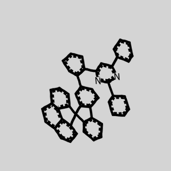 c1ccc(-c2cc(-c3ccccc3-c3ccc4c(c3)C3(c5ccccc5-4)c4cccc5ccc6cccc3c6c45)nc(-c3ccccc3)n2)cc1